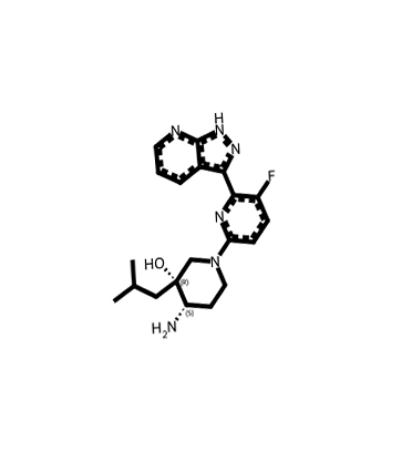 CC(C)C[C@@]1(O)CN(c2ccc(F)c(-c3n[nH]c4ncccc34)n2)CC[C@@H]1N